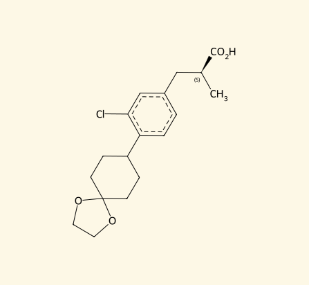 C[C@@H](Cc1ccc(C2CCC3(CC2)OCCO3)c(Cl)c1)C(=O)O